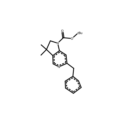 CC(C)(C)OC(=O)N1CC(C)(C)c2cnc(Cc3ccccc3)cc21